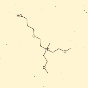 COCC[N+](C)(CCOC)CCOCCCO